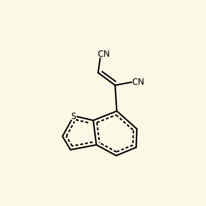 N#CC=C(C#N)c1cccc2ccsc12